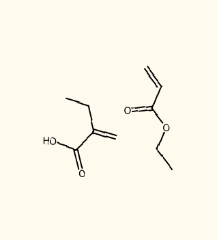 C=C(CC)C(=O)O.C=CC(=O)OCC